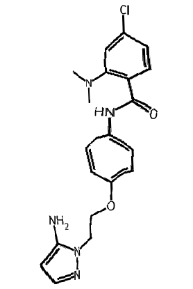 CN(C)c1cc(Cl)ccc1C(=O)Nc1ccc(OCCn2nccc2N)cc1